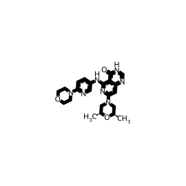 C[C@@H]1CN(c2cc3nc[nH]c(=O)c3c(Nc3ccc(N4CCOCC4)nc3)n2)C[C@H](C)O1